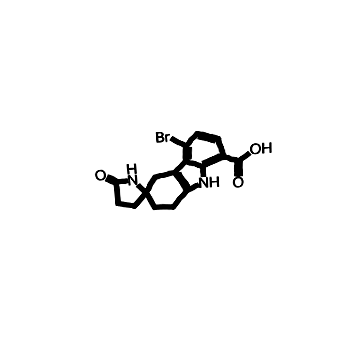 O=C1CCC2(CCc3[nH]c4c(C(=O)O)ccc(Br)c4c3C2)N1